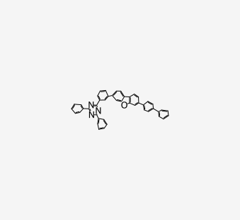 c1ccc(-c2ccc(-c3ccc4c(c3)oc3cc(-c5cccc(-c6nc(-c7ccccc7)nc(-c7ccccc7)n6)c5)ccc34)cc2)cc1